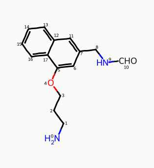 NCCCOc1cc(CNC=O)cc2ccccc12